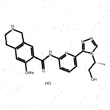 COc1cc2c(cc1C(=O)Nc1cccc(-c3nncn3[C@H](C)CO)n1)CNCC2.Cl